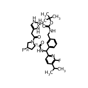 CC(C)c1ccc(C(NC(=O)[C@@H]2C[C@@H](F)CN2C(=O)CC2=CNNN2)c2cccc(CNC(=O)OC(C)(C)C)c2)nc1F